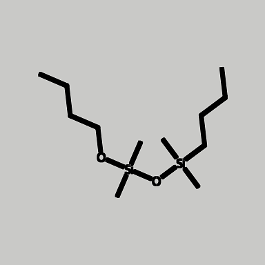 CCCCO[Si](C)(C)O[Si](C)(C)CCCC